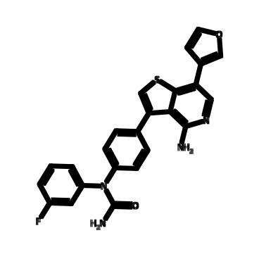 NC(=O)N(c1ccc(-c2csc3c(-c4ccoc4)cnc(N)c23)cc1)c1cccc(F)c1